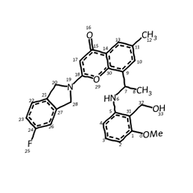 COc1cccc(NC(C)c2cc(C)cc3c(=O)cc(N4Cc5ccc(F)cc5C4)oc23)c1CO